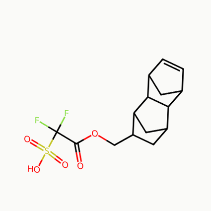 O=C(OCC1CC2CC1C1C3C=CC(C3)C21)C(F)(F)S(=O)(=O)O